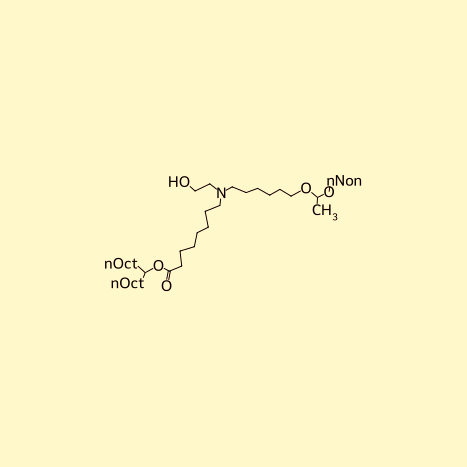 CCCCCCCCCOC(C)OCCCCCCN(CCO)CCCCCCCC(=O)OC(CCCCCCCC)CCCCCCCC